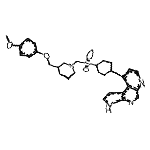 COc1ccc(OCC2CCCN(CS(=O)(=O)C3CCC(c4ccnc5cnc6[nH]ccc6c45)CC3)C2)cc1